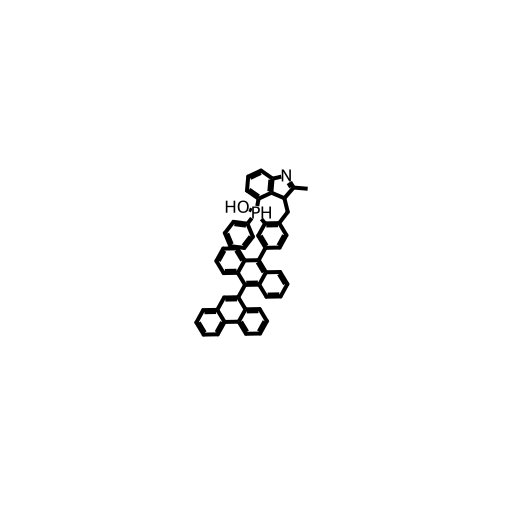 CC1=Nc2cccc3c2C1Cc1ccc(-c2c4ccccc4c(-c4cc5ccccc5c5ccccc45)c4ccccc24)cc1[PH]3(O)c1ccccc1